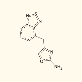 Nc1nc(Cc2cccc3nsnc23)co1